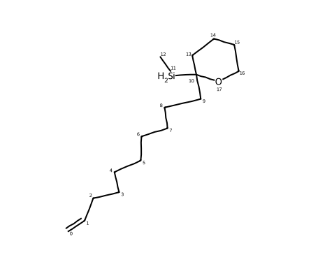 C=CCCCCCCCCC1([SiH2]C)CCCCO1